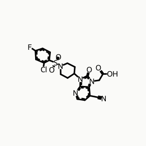 N#Cc1ccnc2c1n(CC(=O)O)c(=O)n2C1CCN(S(=O)(=O)c2ccc(F)cc2Cl)CC1